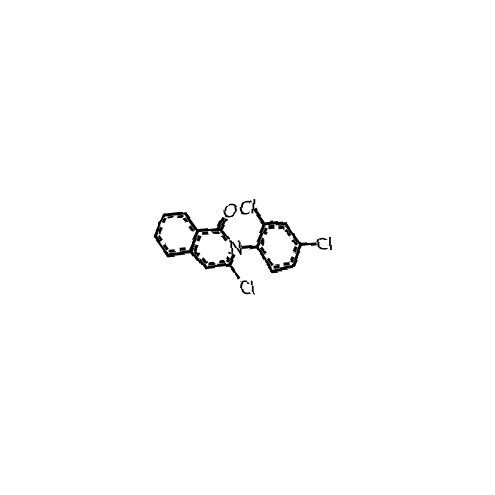 O=c1c2ccccc2cc(Cl)n1-c1ccc(Cl)cc1Cl